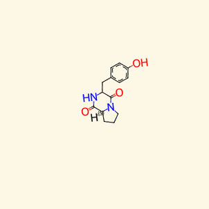 O=C1NC(Cc2ccc(O)cc2)C(=O)N2CCC[C@@H]12